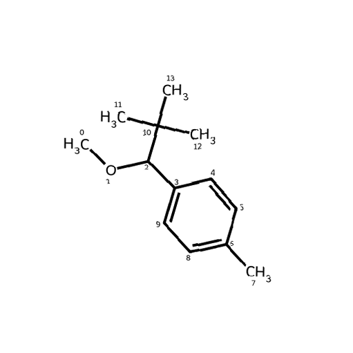 COC(c1ccc(C)cc1)C(C)(C)C